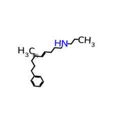 CCCNCCCC=C[C@H](C)CCCc1ccccc1